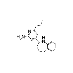 CCCc1cc(C2CCCc3ccccc3N2)nc(N)n1